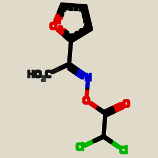 O=C(O)C(=NOC(=O)C(Cl)Cl)c1ccco1